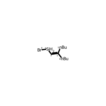 CCCCC(=C[SiH2]Br)CCCC